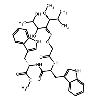 COC(=O)[C@H](Cc1c[nH]c2ccccc12)NC(=O)[C@H](Cc1c[nH]c2ccccc12)NC(=O)CO/N=C(\C(O)C(C)O)[C@@H](OC)C(C)C